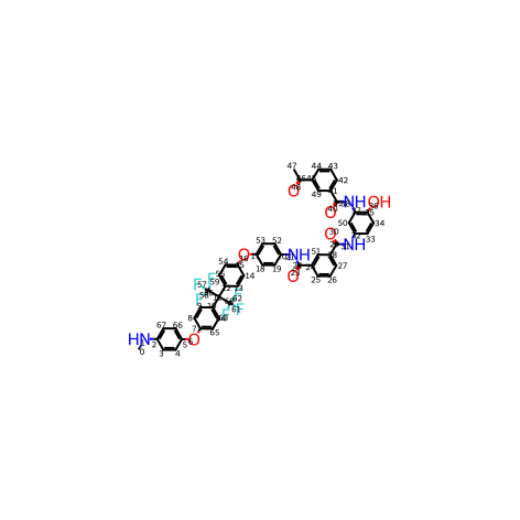 CNc1ccc(Oc2ccc(C(c3ccc(Oc4ccc(NC(=O)c5cccc(C(=O)Nc6ccc(O)c(NC(=O)c7cccc(C(C)=O)c7)c6)c5)cc4)cc3)(C(F)(F)F)C(F)(F)F)cc2)cc1